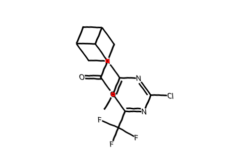 COC(=O)CC1C2CC1CN(c1cc(C(F)(F)F)nc(Cl)n1)C2